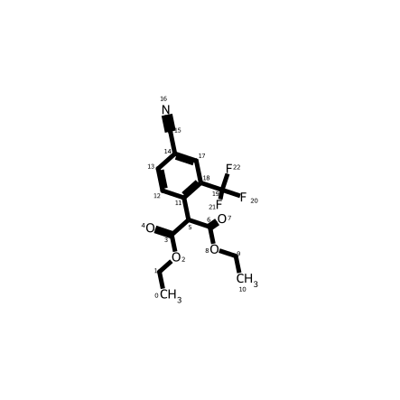 CCOC(=O)C(C(=O)OCC)c1ccc(C#N)cc1C(F)(F)F